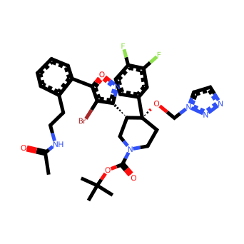 CC(=O)NCCc1ccccc1-c1onc([C@H]2CN(C(=O)OC(C)(C)C)CC[C@]2(OCn2ccnn2)c2ccc(F)c(F)c2)c1Br